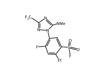 CCc1cc(F)c(-n2nc(C(F)(F)F)nc2NC)cc1S(=O)(=O)F